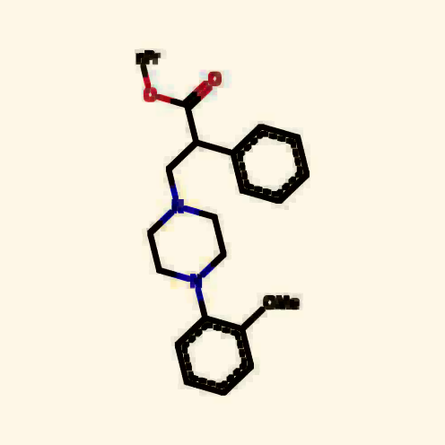 CCCOC(=O)C(CN1CCN(c2ccccc2OC)CC1)c1ccccc1